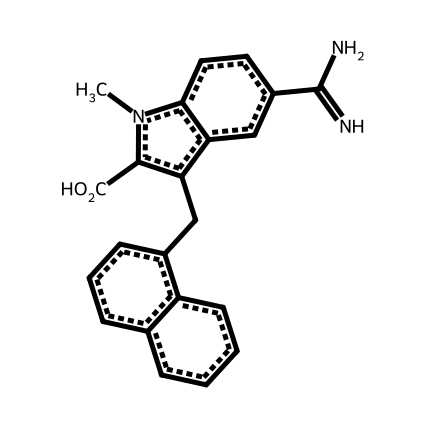 Cn1c(C(=O)O)c(Cc2cccc3ccccc23)c2cc(C(=N)N)ccc21